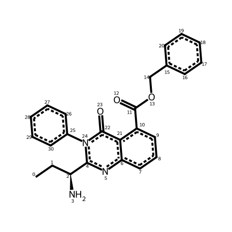 CC[C@H](N)c1nc2cccc(C(=O)OCc3ccccc3)c2c(=O)n1-c1ccccc1